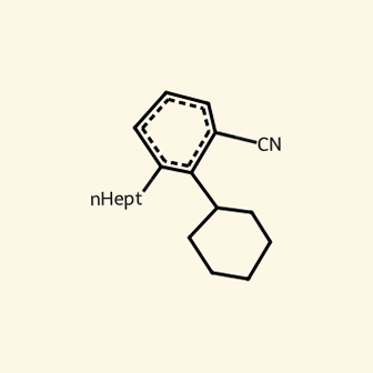 CCCCCCCc1cccc(C#N)c1C1CCCCC1